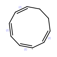 [C]1=C\C=C/C=C\CC\C=C/1